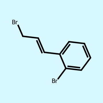 BrC/C=C/c1ccccc1Br